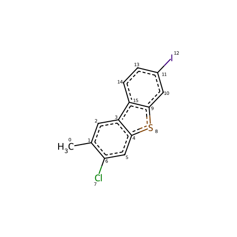 Cc1cc2c(cc1Cl)sc1cc(I)ccc12